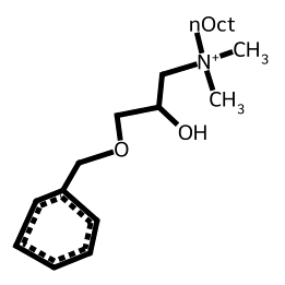 CCCCCCCC[N+](C)(C)CC(O)COCc1ccccc1